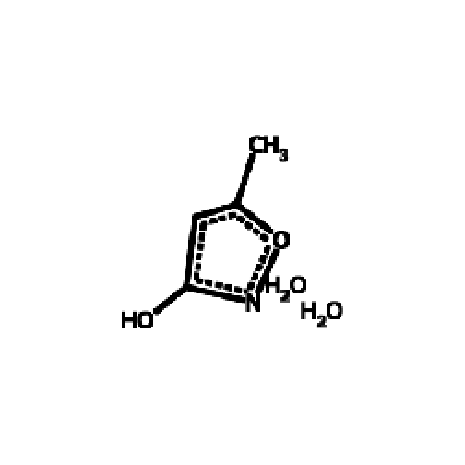 Cc1cc(O)no1.O.O